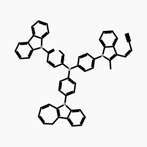 C#C/C=C\c1c(C)n(-c2ccc(N(C(/C=C\C(=C)n3c4ccccc4c4ccccc43)=C/C)c3ccc(-n4c5c(c6ccccc64)CC=CC=C5)cc3)cc2)c2ccccc12